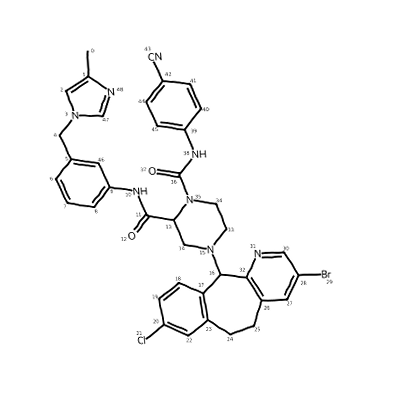 Cc1cn(Cc2cccc(NC(=O)C3CN(C4c5ccc(Cl)cc5CCc5cc(Br)cnc54)CCN3C(=O)Nc3ccc(C#N)cc3)c2)cn1